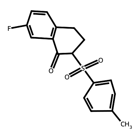 Cc1ccc(S(=O)(=O)C2CCc3ccc(F)cc3C2=O)cc1